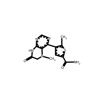 Cc1sc(C(N)=O)cc1-c1ncnc2c1N(C)CC(=O)N2